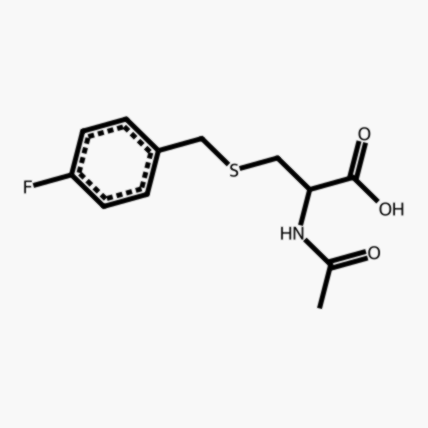 CC(=O)NC(CSCc1ccc(F)cc1)C(=O)O